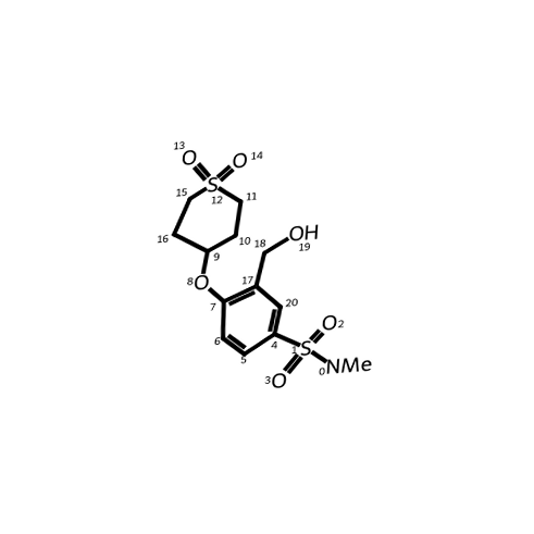 CNS(=O)(=O)c1ccc(OC2CCS(=O)(=O)CC2)c(CO)c1